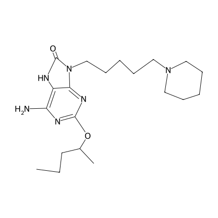 CCCC(C)Oc1nc(N)c2[nH]c(=O)n(CCCCCN3CCCCC3)c2n1